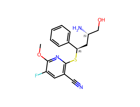 COc1nc(S[C@H](C[C@H](N)CO)c2ccccc2)c(C#N)cc1F